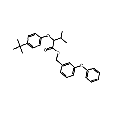 CC(C)C(Oc1ccc(C(C)(C)C)cc1)C(=O)OCc1cccc(Oc2ccccc2)c1